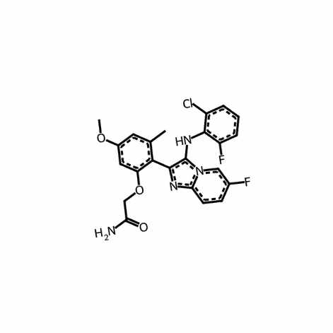 COc1cc(C)c(-c2nc3ccc(F)cn3c2Nc2c(F)cccc2Cl)c(OCC(N)=O)c1